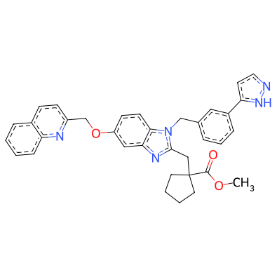 COC(=O)C1(Cc2nc3cc(OCc4ccc5ccccc5n4)ccc3n2Cc2cccc(-c3ccn[nH]3)c2)CCCC1